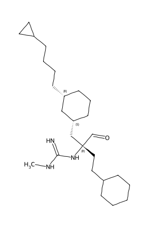 CNC(=N)N[C@](C=O)(CCC1CCCCC1)C[C@H]1CCC[C@@H](CCCCC2CC2)C1